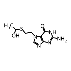 CC(O)SCCn1cnc2nc(N)[nH]c(=O)c21